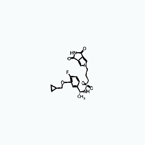 C[C@@H](NS(=O)(=O)CCCn1cc2c(c1)C(=O)NC2=O)c1ccc(F)c(OCC2CC2)c1